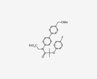 CCOC(=O)CN(C(=O)C(C)(C)Oc1ccc(F)cc1)c1ccc(-c2ccc(COC)cc2)cc1